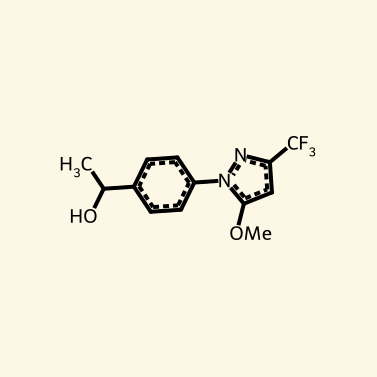 COc1cc(C(F)(F)F)nn1-c1ccc(C(C)O)cc1